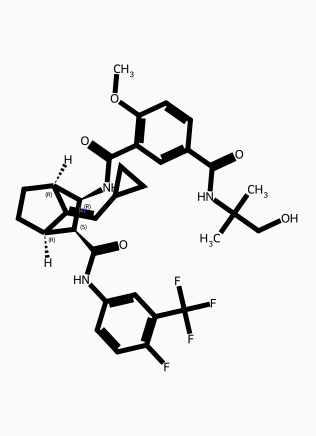 COc1ccc(C(=O)NC(C)(C)CO)cc1C(=O)N[C@H]1[C@@H](C(=O)Nc2ccc(F)c(C(F)(F)F)c2)[C@H]2CC[C@@H]1/C2=C\C1CC1